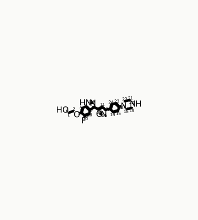 OCCOc1cc2[nH]nc(-c3cc(-c4ccc(N5CCNCC5)cc4)no3)c2cc1F